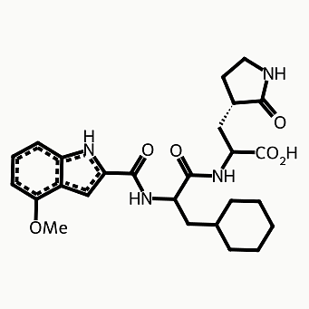 COc1cccc2[nH]c(C(=O)NC(CC3CCCCC3)C(=O)NC(C[C@@H]3CCNC3=O)C(=O)O)cc12